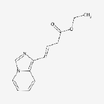 CCOC(=O)CC=Cc1ncn2ccccc12